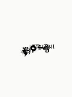 CC1(C)OB(c2ccc(OCCCS(=O)(=O)O)cc2)OC1(C)C